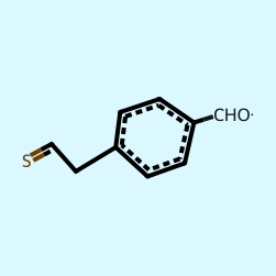 O=[C]c1ccc(CC=S)cc1